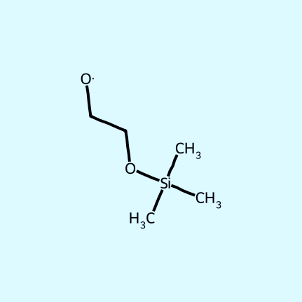 C[Si](C)(C)OCC[O]